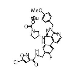 COc1ccc(Cn2nc(N[C@@H]3CCN(C(=O)OC(C)(C)C)C3)c3c(-c4ccc(CNC(=O)c5cc(Cl)on5)c(F)c4)ccnc32)cc1